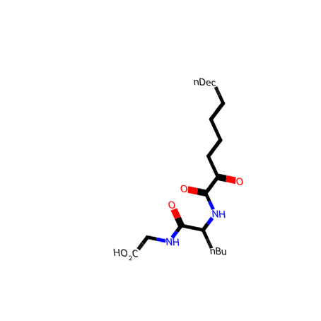 CCCCCCCCCCCCCCC(=O)C(=O)NC(CCCC)C(=O)NCC(=O)O